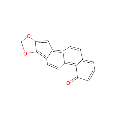 O=C1C=CC=c2ccc3c4c(ccc3c21)=C1OCOC1=C4